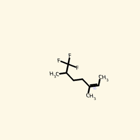 C/C=C(/C)CCC(C)C(F)(F)F